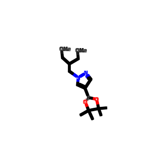 COCC(COC)Cn1cc(B2OC(C)(C)C(C)(C)O2)cn1